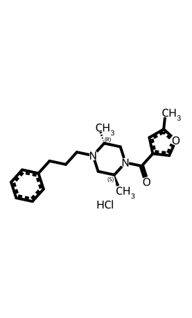 Cc1cc(C(=O)N2C[C@@H](C)N(CCCc3ccccc3)C[C@@H]2C)co1.Cl